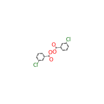 O=C(OOC(=O)c1cccc(Cl)c1)c1cccc(Cl)c1